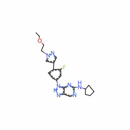 CCOCCn1cc(-c2ccc(-n3nnc4cnc(NC5CCCC5)nc43)cc2F)cn1